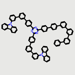 c1ccc(-c2cccc(-c3cccc(-c4cccc(-c5ccc(-c6ccc(-c7nc(-c8ccc(-c9cccc(-c%10cccc(-n%11c%12ccccc%12c%12ccccc%12%11)c%10)c9)cc8)nc(-c8ccc(-c9cccc(-c%10cccc(-n%11c%12ccccc%12c%12ccccc%12%11)c%10)c9)cc8)n7)cc6)cc5)c4)c3)c2)cc1